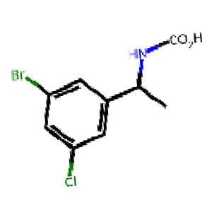 CC(NC(=O)O)c1cc(Cl)cc(Br)c1